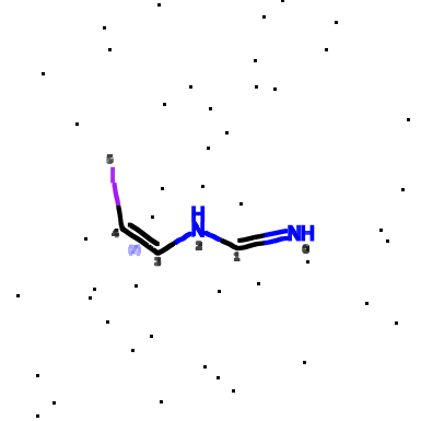 N=CN/C=C\I